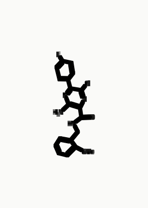 COc1ccccc1CNC(=O)c1nc(Cl)c(-c2ccc(F)cc2)nc1N